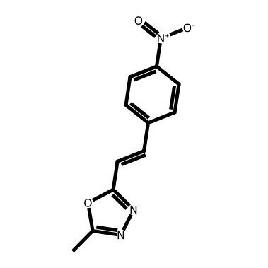 Cc1nnc(C=Cc2ccc([N+](=O)[O-])cc2)o1